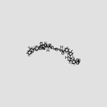 Cc1ccc(NC(=O)C2(c3ccc4c(c3)OC(F)(F)O4)CC2)nc1-c1cccc(C(=O)NCCOCCOCC(=O)Nc2ccc3c(=O)n(CC4(O)CCN(C(=O)C[C@@H](C)c5ccccc5)CC4)cnn23)c1